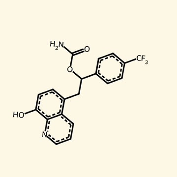 NC(=O)OC(Cc1ccc(O)c2ncccc12)c1ccc(C(F)(F)F)cc1